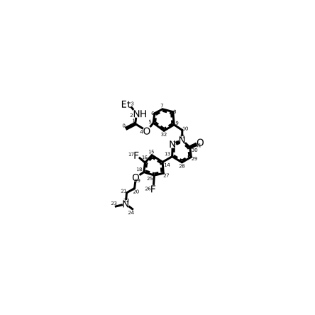 C=C(NCC)Oc1cccc(Cn2nc(-c3cc(F)c(OCCN(C)C)c(F)c3)ccc2=O)c1